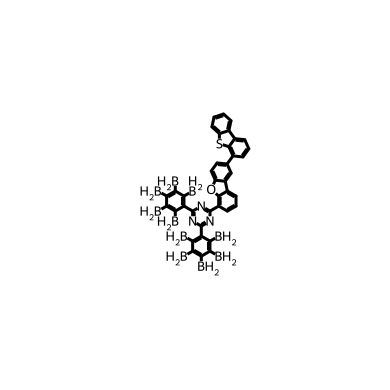 Bc1c(B)c(B)c(-c2nc(-c3c(B)c(B)c(B)c(B)c3B)nc(-c3cccc4c3oc3ccc(-c5cccc6c5sc5ccccc56)cc34)n2)c(B)c1B